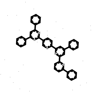 c1ccc(-c2cc(-c3ccc(-c4nc(-c5ccccc5)cc(-c5ccccc5)n4)cn3)nc(-c3cccc(-c4ccccc4)n3)c2)cc1